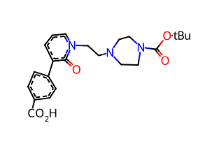 CC(C)(C)OC(=O)N1CCN(CCn2cccc(-c3ccc(C(=O)O)cc3)c2=O)CC1